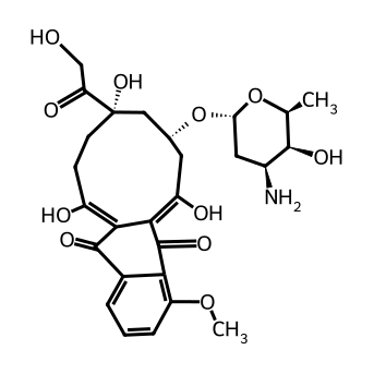 COc1cccc2c1C(=O)C1=C(\O)C[C@@H](O[C@H]3C[C@H](N)[C@H](O)[C@H](C)O3)C[C@](O)(C(=O)CO)CC/C(O)=C\1C2=O